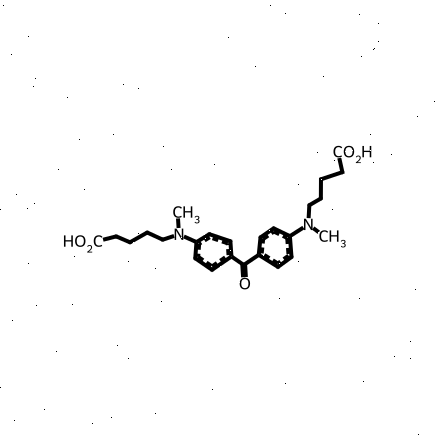 CN(CCCCC(=O)O)c1ccc(C(=O)c2ccc(N(C)CCCCC(=O)O)cc2)cc1